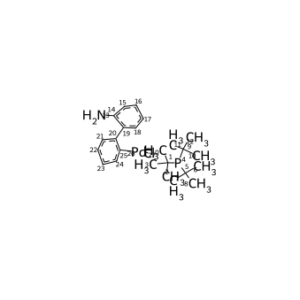 CC(C)(C)P(C(C)(C)C)C(C)(C)C.Nc1ccccc1-c1cccc[c]1[Pd][Cl]